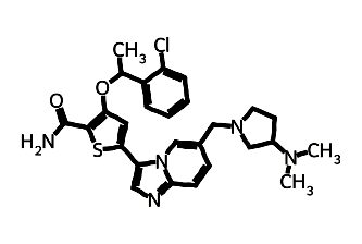 CC(Oc1cc(-c2cnc3ccc(CN4CCC(N(C)C)C4)cn23)sc1C(N)=O)c1ccccc1Cl